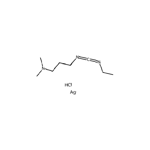 CCN=C=NCCCN(C)C.Cl.[Ag]